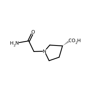 NC(=O)CN1CC[C@@H](C(=O)O)C1